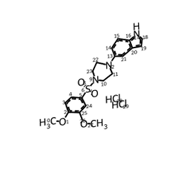 COc1ccc(S(=O)(=O)N2CCN(c3ccc4[nH]ccc4c3)CC2)cc1OC.Cl.Cl